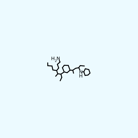 CCCCC(CCCN)C(C)C(CC)C1CCCC(C(C)CC(CC)NC2CCCCC2)C1